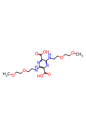 COCCOCCNc1nc(C(=O)O)c(NCCOCCOC)nc1C(=O)O